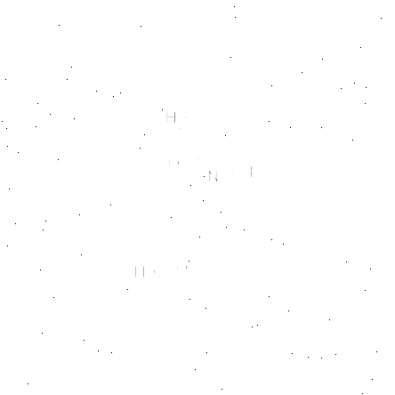 [CH2]CC(=O)N(C)c1ccc(OC)cc1